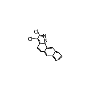 Clc1nnc2c(ccc3cc4ccccc4cc32)c1Cl